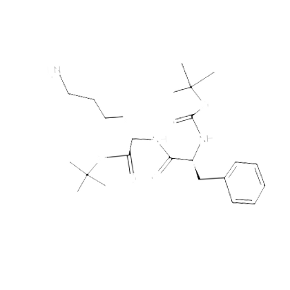 CC(C)(C)OC(=O)N[C@@H](Cc1ccccc1)C(=O)N[C@@H](CCCCN)C(=O)OC(C)(C)C